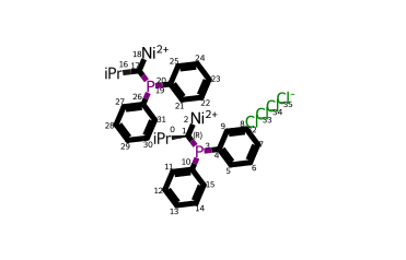 CC(C)[C@@H]([Ni+2])P(c1ccccc1)c1ccccc1.CC(C)[CH]([Ni+2])P(c1ccccc1)c1ccccc1.[Cl-].[Cl-].[Cl-].[Cl-]